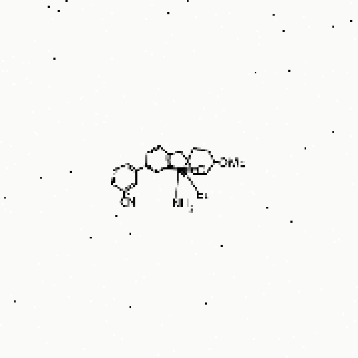 CCN1C(=O)C2(N=C1N)c1cc(-c3cccc(C#N)c3)ccc1CC21CCC(OC)CC1